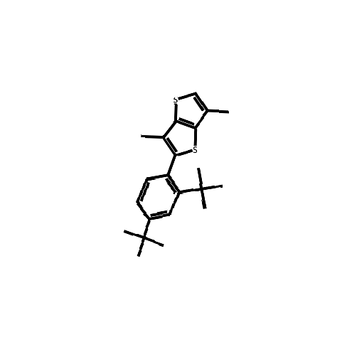 Cc1csc2c(C)c(-c3ccc(C(C)(C)C)cc3C(C)(C)C)sc12